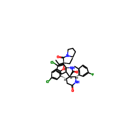 CCC(CC)(Oc1ccc(Cl)cc1[C@H]1CC(=O)N[C@@H](c2cc(F)ccc2C)[C@]12C(=O)Nc1cc(Cl)ccc12)C(=O)N1CCCC1